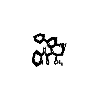 C[C@@H]1CCNc2ccc(-c3ccccc3)nc2N1C(=O)Nc1ccccn1